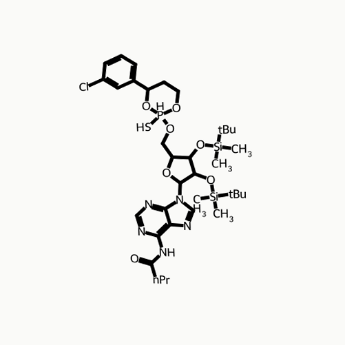 CCCC(=O)Nc1ncnc2c1ncn2C1OC(CO[PH]2(S)OCCC(c3cccc(Cl)c3)O2)C(O[Si](C)(C)C(C)(C)C)C1O[Si](C)(C)C(C)(C)C